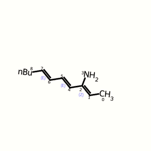 C/C=C(N)/C=C/C=C/CCCC